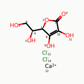 O=C1O[C@H]([C@@H](O)CO)C(O)=C1O.[Ca+2].[Cl-].[Cl-]